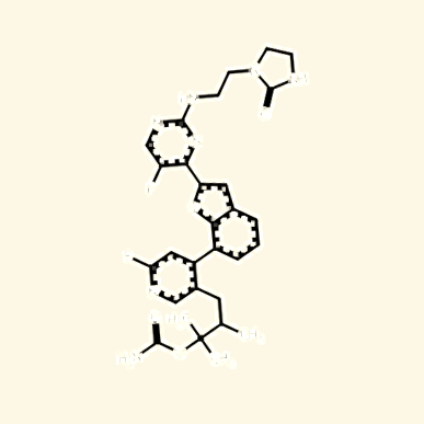 CC(Cc1cnc(F)cc1-c1cccc2cc(-c3nc(NCCN4CCNC4=O)ncc3F)sc12)C(C)(C)OC(N)=O